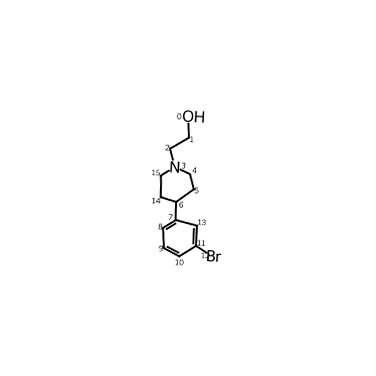 OCCN1CCC(c2cccc(Br)c2)CC1